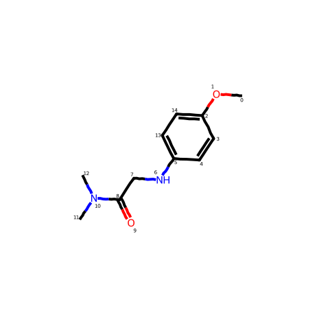 COc1ccc(NCC(=O)N(C)C)cc1